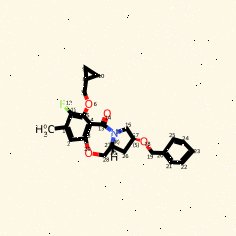 Cc1cc2c(c(OCC3CC3)c1F)C(=O)N1C[C@@H](OCc3ccccc3)C[C@@H]1CO2